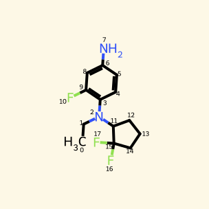 CCN(c1ccc(N)cc1F)C1CCCC1(F)F